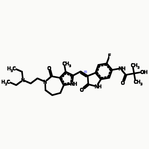 CCN(CC)CCN1CCCc2[nH]c(/C=C3\C(=O)Nc4cc(NC(=O)C(C)(C)O)c(F)cc43)c(C)c2C1=O